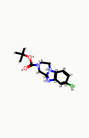 CC(C)(C)OC(=O)N1CCn2c(nc3cc(Br)ccc32)C1